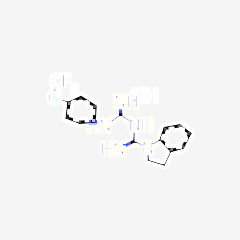 Cl.N=C(NC(=N)N1CCc2ccccc21)Nc1ccc(OC(F)(F)F)cc1